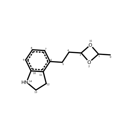 CC1OC(CCc2cccc3c2CCN3)O1